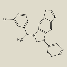 CC(c1cccc(Br)c1)N1CN(c2ccncc2)c2cc3c(cc21)CC=N3